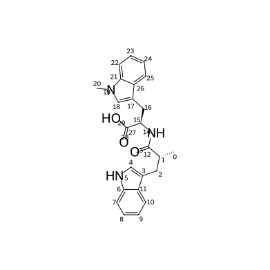 C[C@H](Cc1c[nH]c2ccccc12)C(=O)N[C@H](Cc1cn(C)c2ccccc12)C(=O)O